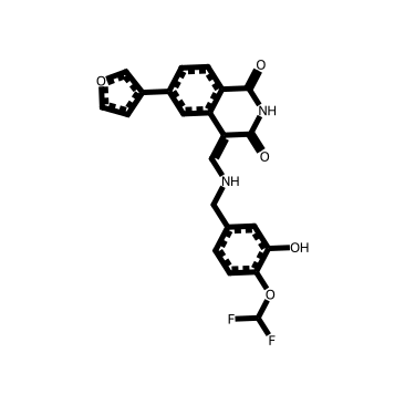 O=C1NC(=O)c2ccc(-c3ccoc3)cc2/C1=C/NCc1ccc(OC(F)F)c(O)c1